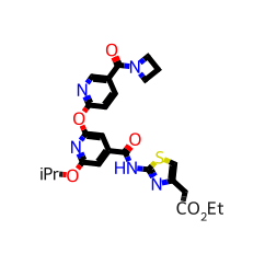 CCOC(=O)Cc1csc(NC(=O)c2cc(Oc3ccc(C(=O)N4CCC4)cn3)nc(OC(C)C)c2)n1